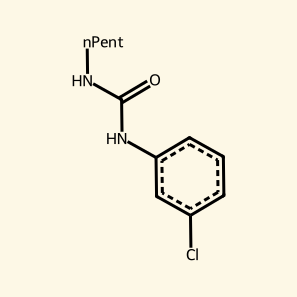 CCCCCNC(=O)Nc1cccc(Cl)c1